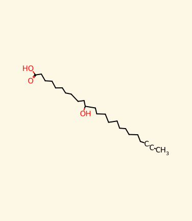 CCCCCCCCCCCCCC(O)CCCCCCCCCC(=O)O